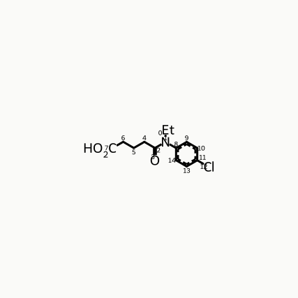 CCN(C(=O)CCCC(=O)O)c1ccc(Cl)cc1